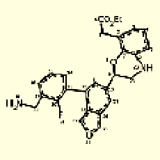 CCOC(=O)Cc1cccc2c1O[C@H](c1cc(-c3cccc(CN)c3F)c3cocc3c1)CN2